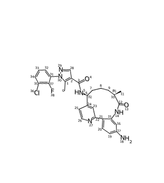 Cc1c(C(=O)N[C@H]2CCC[C@@H](C)C(=O)Nc3cc(N)ccc3-c3cc2ccn3)cnn1-c1cccc(Cl)c1F